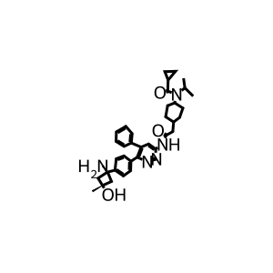 CC(C)N(C(=O)C1CC1)C1CCC(CC(=O)Nc2cc(-c3ccccc3)c(-c3ccc([C@]4(N)C[C@](C)(O)C4)cc3)nn2)CC1